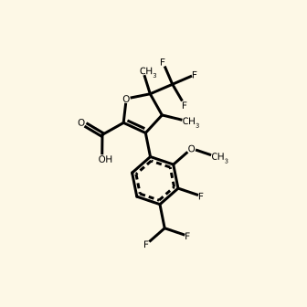 COc1c(C2=C(C(=O)O)OC(C)(C(F)(F)F)C2C)ccc(C(F)F)c1F